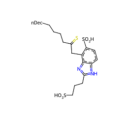 CCCCCCCCCCCCCCC(=S)Cc1c(S(=O)(=O)O)ccc2[nH]c(CCCS(=O)(=O)O)nc12